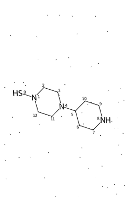 SN1CCN(C2CCNCC2)CC1